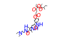 CCC(C)C(=O)C(C)OC(C)(CC)C(=O)CCC(=O)Oc1ccc2c(c1)/C(=C/c1[nH]c(C)c(C(=O)NCCN(CC)CC)c1C)C(=O)N2